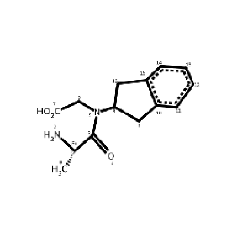 C[C@H](N)C(=O)N(CC(=O)O)C1Cc2ccccc2C1